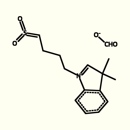 CC1(C)C=[N+](CCCC=S(=O)=O)c2ccccc21.O=C[O-]